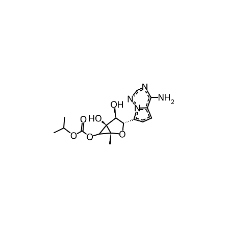 CC(C)OC(=O)OC1[C@@]2(C)O[C@@H](c3ccc4c(N)ncnn34)[C@H](O)[C@@]12O